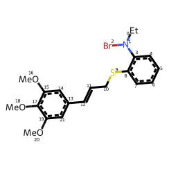 CCN(Br)c1ccccc1SC/C=C/c1cc(OC)c(OC)c(OC)c1